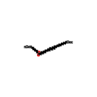 CCCCCCCCCCCCCCCCCCCCCCCCCCCCCCCCCC(=O)OCCCCCCCCCCCCCCCCC